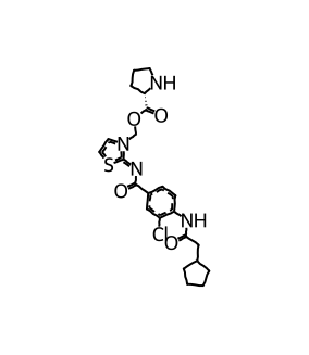 O=C(CC1CCCC1)Nc1ccc(C(=O)/N=c2\sccn2COC(=O)[C@@H]2CCCN2)cc1Cl